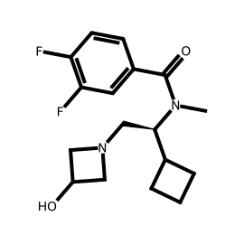 CN(C(=O)c1ccc(F)c(F)c1)[C@H](CN1CC(O)C1)C1CCC1